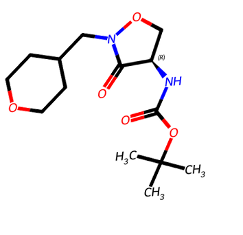 CC(C)(C)OC(=O)N[C@@H]1CON(CC2CCOCC2)C1=O